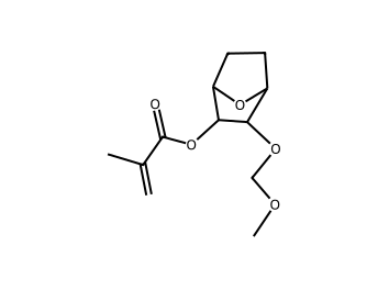 C=C(C)C(=O)OC1C2CCC(O2)C1OCOC